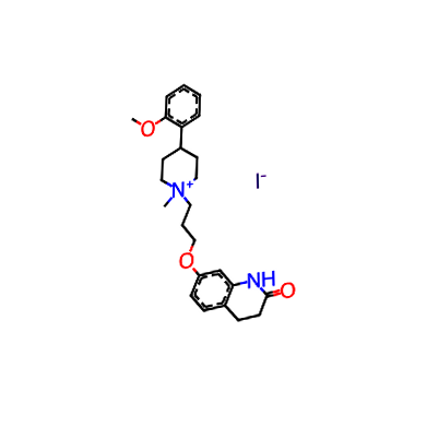 COc1ccccc1C1CC[N+](C)(CCCOc2ccc3c(c2)NC(=O)CC3)CC1.[I-]